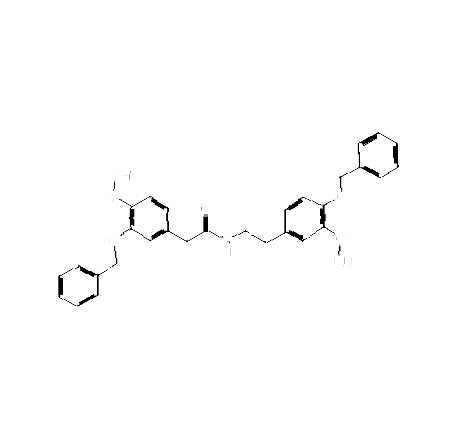 COc1cc(CCNC(=O)Cc2ccc(OC)c(OCc3ccccc3)c2)ccc1OCc1ccccc1